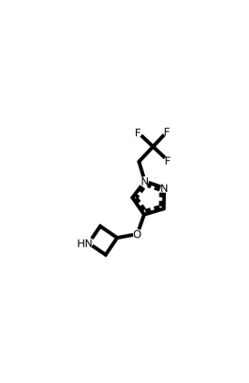 FC(F)(F)Cn1cc(OC2CNC2)cn1